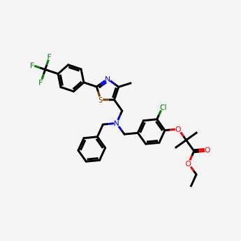 CCOC(=O)C(C)(C)Oc1ccc(CN(Cc2ccccc2)Cc2sc(-c3ccc(C(F)(F)F)cc3)nc2C)cc1Cl